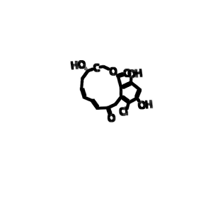 O=C1/C=C/C=C\C[C@H](O)CCOC(=O)c2c(O)cc(O)c(Cl)c2C1